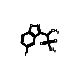 CC(c1noc2ccc(F)cc12)S(N)(=O)=O